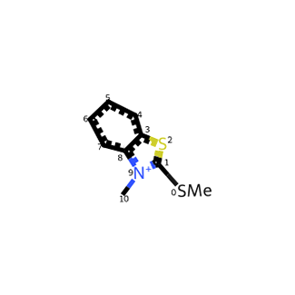 CSc1sc2ccccc2[n+]1C